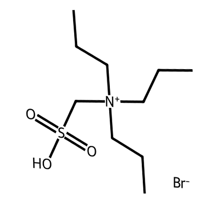 CCC[N+](CCC)(CCC)CS(=O)(=O)O.[Br-]